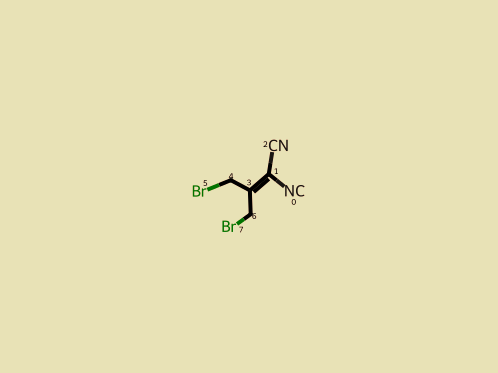 [C-]#[N+]C(C#N)=C(CBr)CBr